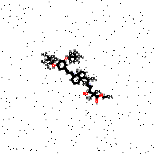 CCOC(=O)C(C)(C)[C@H](O)/C=C/[C@@H](C)[C@H]1CC[C@H]2/C(=C/C=C3C[C@@H](O[Si](C)(C)C(C)(C)C)C[C@H](O[Si](C)(C)C(C)(C)C)C3)CCC[C@]12C